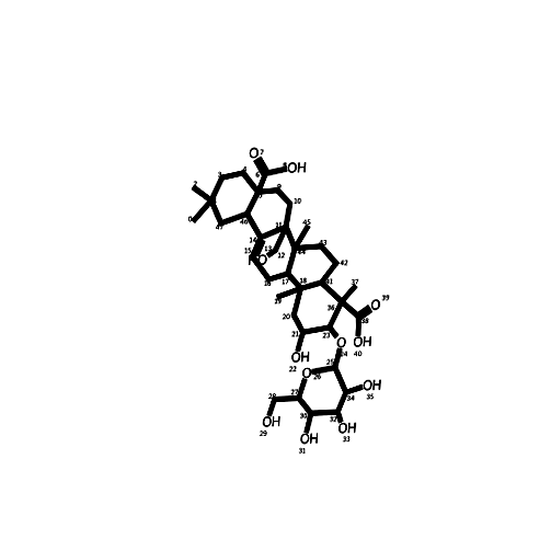 CC1(C)CCC2(C(=O)O)CCC3(CO)C(=CCC4C5(C)CC(O)C(OC6OC(CO)C(O)C(O)C6O)C(C)(C(=O)O)C5CCC43C)C2C1